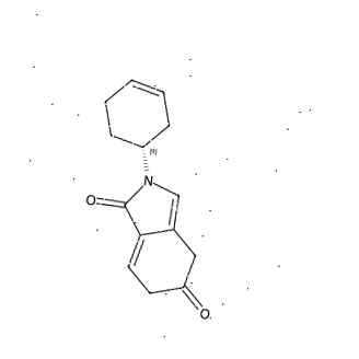 O=C1CC=C2C(=O)N([C@H]3CC=CCC3)C=C2C1